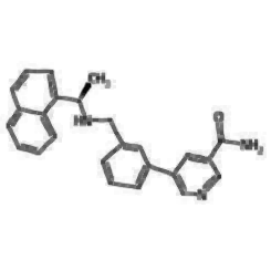 C[C@@H](NCc1cccc(-c2cncc(C(N)=O)c2)c1)c1cccc2ccccc12